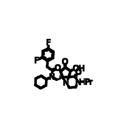 CC(C)N1CCN2C3(C1=O)C(O)C(=O)C[C@]23CN(C(=O)Cc1ccc(F)cc1F)C1CCCCC1